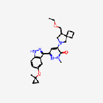 CCOCC1CN(c2cc(-c3n[nH]c4ccc(OC5(C)CC5)cc34)nn(C)c2=O)CC12CCC2